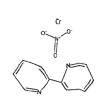 O=[N+]([O-])[O-].[Cr].c1ccc(-c2ccccn2)nc1